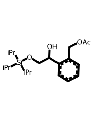 CC(=O)OCc1ccccc1C(O)CO[Si](C(C)C)(C(C)C)C(C)C